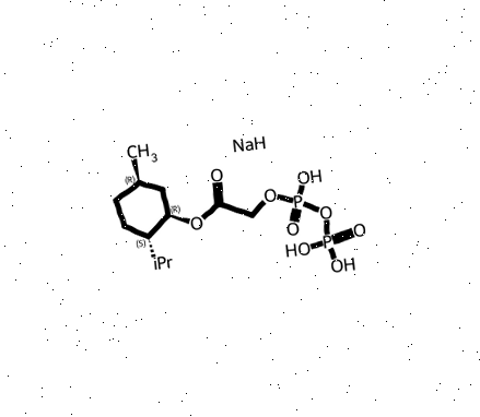 CC(C)[C@@H]1CC[C@@H](C)C[C@H]1OC(=O)COP(=O)(O)OP(=O)(O)O.[NaH]